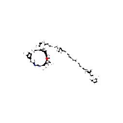 COc1cc2cc(c1Cl)N(C)C(=O)C[C@H](OC(=O)[C@H](C)N(C)C(=O)CCOCCn1cc(COCCOCCOCCOCCNC(=O)CCN3C(=O)C=CC3=O)nn1)[C@@]1(C)C[C@H]1[C@H](C)[C@@H]1C[C@@](O)(NC(=O)O1)C(OC)/C=C/C=C(\C)C2